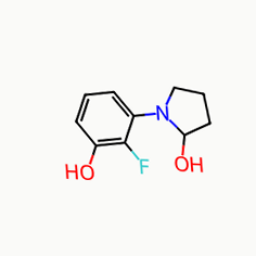 Oc1cccc(N2CCCC2O)c1F